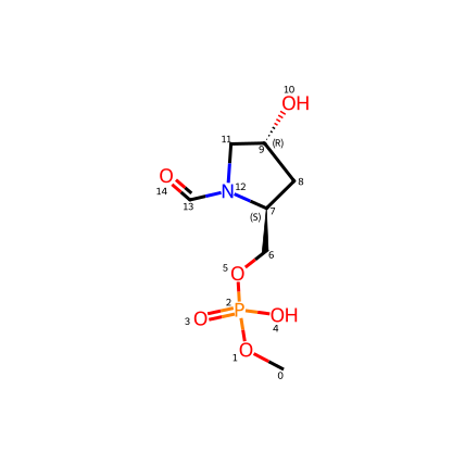 COP(=O)(O)OC[C@@H]1C[C@@H](O)CN1C=O